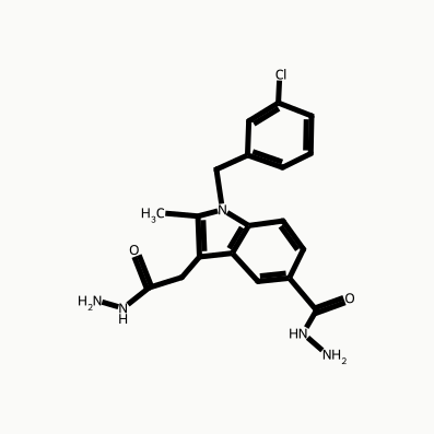 Cc1c(CC(=O)NN)c2cc(C(=O)NN)ccc2n1Cc1cccc(Cl)c1